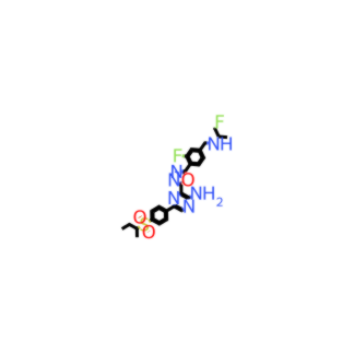 CCC(C)S(=O)(=O)c1ccc(-c2cnc(N)c(-c3nnc(-c4ccc(CNC(C)CF)cc4F)o3)n2)cc1